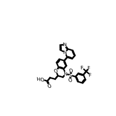 O=C(O)CCC1CN(S(=O)(=O)c2cccc(C(F)(F)F)c2)c2cc(-c3cccc4nccn34)ccc2O1